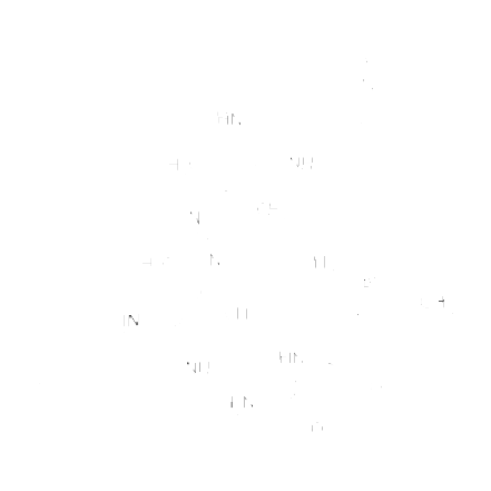 CC(C)(/N=N/C(C)(C)C(=N)Nc1ccccc1)C(=N)Nc1ccccc1.CCC(Br)(CC)C(=O)NC(N)=O